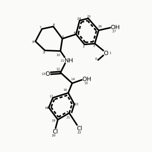 COc1cc(C2CCCCC2NC(=O)C(O)c2ccc(Cl)c(Cl)c2)ccc1O